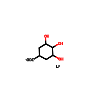 O=C([O-])C1CC(O)C(O)C(O)C1.[Li+]